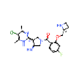 CC1=N/C(=C2\CN(C(=O)c3ccc(F)cc3OC[C@@H]3CCN3)CC2=N)NC(C)=C1Cl